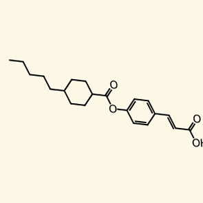 CCCCCC1CCC(C(=O)Oc2ccc(/C=C/C(=O)O)cc2)CC1